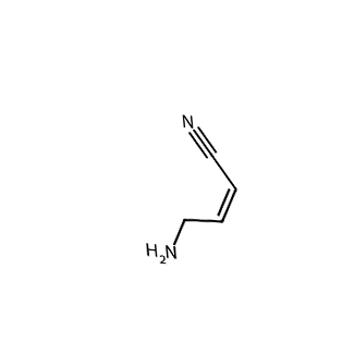 N#C/C=C\CN